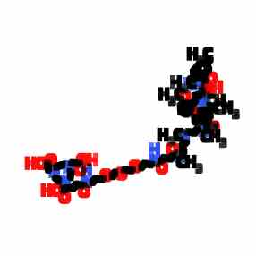 CCC1CC2CC(C)C(NC(=O)c3cc(-c4c(OC)cccc4OC)n(-c4ccc(C(=O)N(C)CCCN(C)CCCN(C)C(=O)CCC(=O)NCCCOCCOCCOCCCNC(=O)CCC(C(=O)O)N5CCN(CC(=O)O)CCN(CC(=O)O)CC5)cc4C(C)C)n3)(C(=O)O)C(C1)C2